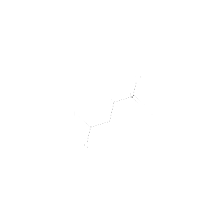 NC(F)CCC(=O)O